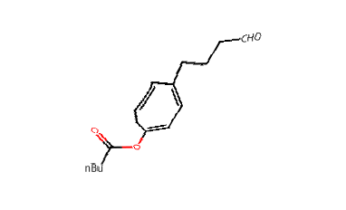 CCCCC(=O)Oc1ccc(CCCC=O)cc1